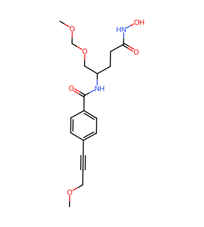 COCC#Cc1ccc(C(=O)NC(CCC(=O)NO)COCOC)cc1